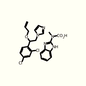 C=CCOC(Cn1ccnc1)c1ccc(Cl)cc1Cl.CN(C(=O)O)c1nc2ccccc2[nH]1